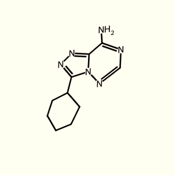 Nc1ncnn2c(C3CCCCC3)nnc12